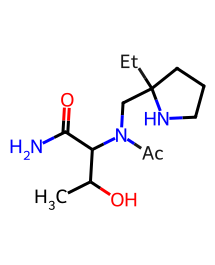 CCC1(CN(C(C)=O)C(C(N)=O)C(C)O)CCCN1